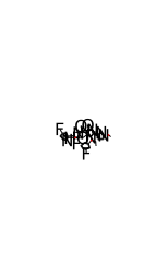 CCC(c1cc(F)cc(F)c1)n1c(-c2ccn(CC)n2)nc(=O)c(C(=O)N2CCC(c3cc(F)ccn3)C2)c1O